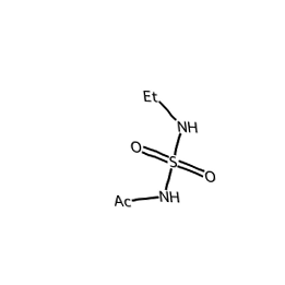 CCNS(=O)(=O)NC(C)=O